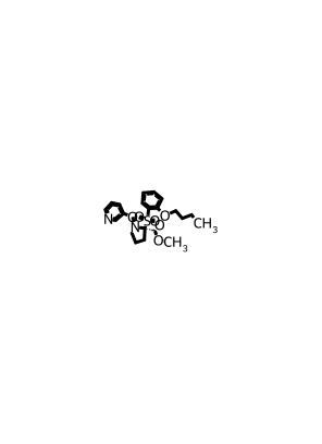 CCCCOc1ccccc1S(=O)(=O)[C@@]1(C(=O)OC)CCCN1Oc1cccnc1